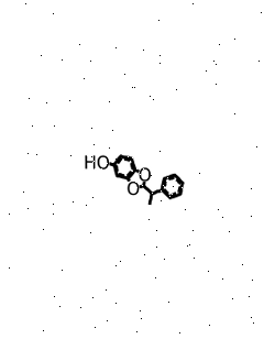 CC(c1ccccc1)C1Oc2ccc(O)cc2O1